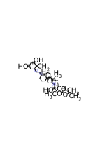 C=C1/C(=C\C=C2/CCC[C@]3(C)[C@@H]([C@H](C)/C=C/[C@@H](O)C(C)(C)OC(=O)OC(C)C)CC[C@@H]23)C[C@@H](O)C[C@@H]1O